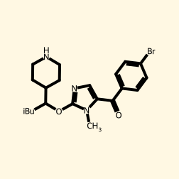 CCC(C)C(Oc1ncc(C(=O)c2ccc(Br)cc2)n1C)C1CCNCC1